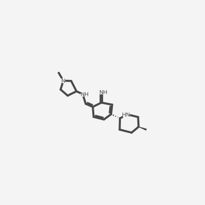 C[C@H]1CC[C@H](C2=CC(=N)/C(=C\NC3CCN(C)C3)C=C2)NC1